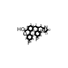 O=C(O)c1ccc(C=C(Cc2ncc[nH]2)c2ccc(F)cc2)cc1-c1ccc(F)cc1